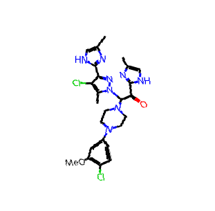 COc1cc(N2CCN(C(C(=O)c3nc(C)c[nH]3)n3nc(-c4nc(C)c[nH]4)c(Cl)c3C)CC2)ccc1Cl